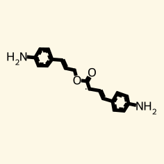 Nc1ccc(C=C[CH]C(=O)OCC=Cc2ccc(N)cc2)cc1